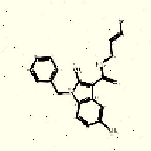 CC(=O)/C=C/CNC(=O)c1c(C)n(Cc2ccccc2)c2ccc(C)cc12